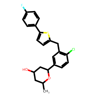 CC1CC(O)CC(c2ccc(Cl)c(Cc3ccc(-c4ccc(F)cc4)s3)c2)O1